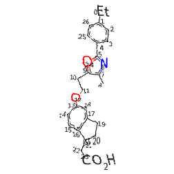 CCc1ccc(-c2nc(C)c(CCOc3ccc4c(c3)CC[C@H]4CC(=O)O)o2)cc1